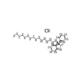 CCCCCCCCCCCCCCCC[N+](CC)(c1ccccc1)c1ccccc1.[Cl-]